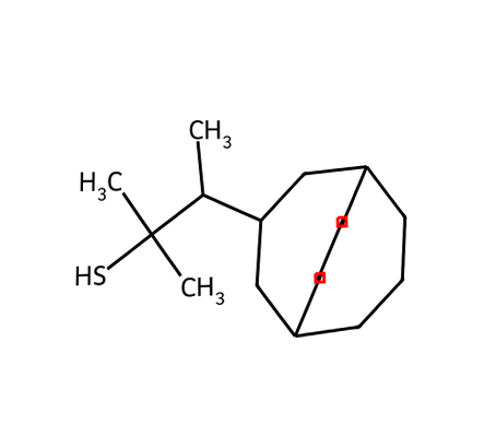 CC(C1CC2CCCCC(CCC2)C1)C(C)(C)S